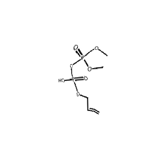 C=CCOP(=O)(O)OP(=O)(OC)OC